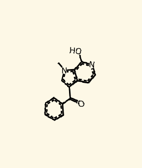 Cn1cc(C(=O)c2ccccc2)c2ccnc(O)c21